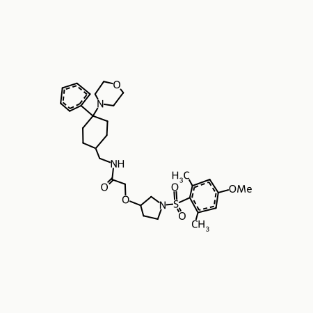 COc1cc(C)c(S(=O)(=O)N2CCC(OCC(=O)NCC3CCC(c4ccccc4)(N4CCOCC4)CC3)C2)c(C)c1